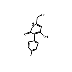 CC(C)Cc1cc(O)c(-c2ccc(F)cc2)c(=O)[nH]1